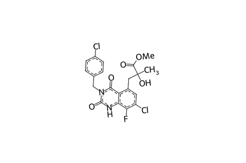 COC(=O)C(C)(O)Cc1cc(Cl)c(F)c2[nH]c(=O)n(Cc3ccc(Cl)cc3)c(=O)c12